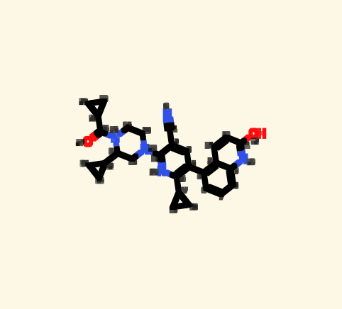 N#Cc1cc(-c2cccc3nc(O)ccc23)c(C2CC2)nc1N1CCN(C(=O)C2CC2)C(C2CC2)C1